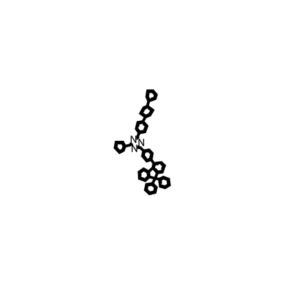 c1ccc(-c2ccc(-c3ccc(-c4nc(-c5ccccc5)nc(-c5ccc(-c6cccc7c6-c6ccccc6C7(c6ccccc6)c6ccccc6)cc5)n4)cc3)cc2)cc1